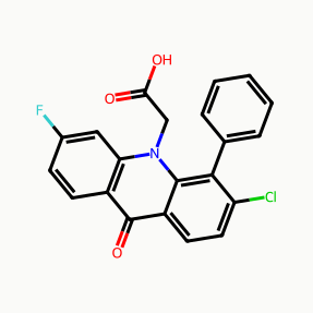 O=C(O)Cn1c2cc(F)ccc2c(=O)c2ccc(Cl)c(-c3ccccc3)c21